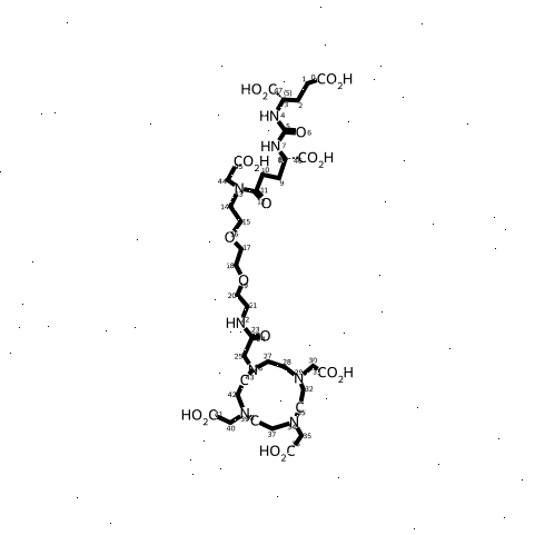 O=C(O)CC[C@H](NC(=O)N[C@@H](CCC(=O)N(CCOCCOCCNC(=O)CN1CCN(CC(=O)O)CCN(CC(=O)O)CCN(CC(=O)O)CC1)CC(=O)O)C(=O)O)C(=O)O